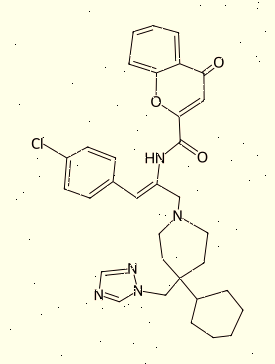 O=C(N/C(=C\c1ccc(Cl)cc1)CN1CCC(Cn2cncn2)(C2CCCCC2)CC1)c1cc(=O)c2ccccc2o1